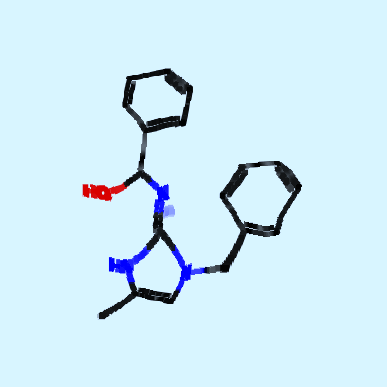 Cc1cn(Cc2ccccc2)/c(=N/C(O)c2ccccc2)[nH]1